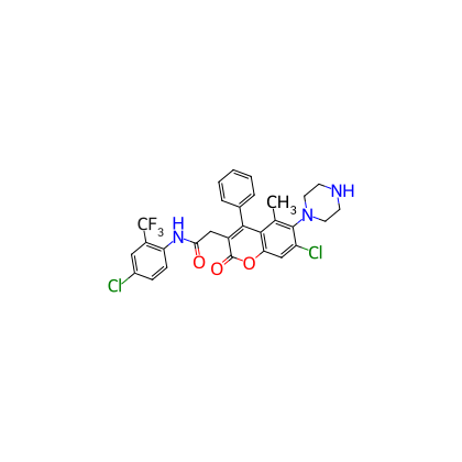 Cc1c(N2CCNCC2)c(Cl)cc2oc(=O)c(CC(=O)Nc3ccc(Cl)cc3C(F)(F)F)c(-c3ccccc3)c12